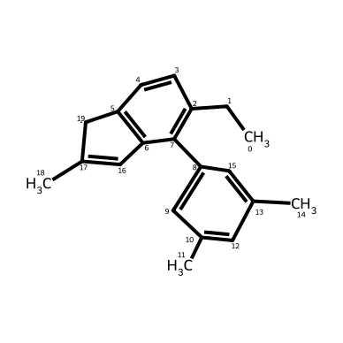 CCc1ccc2c(c1-c1cc(C)cc(C)c1)C=C(C)[CH]2